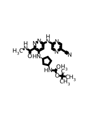 CNC(=O)c1nnc(Nc2cnc(C#N)cn2)cc1N[C@@H]1CC[C@@H](NC(=O)OC(C)(C)C)C1